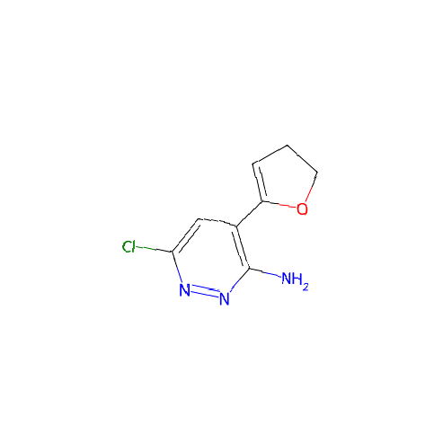 Nc1nnc(Cl)cc1C1=CCCO1